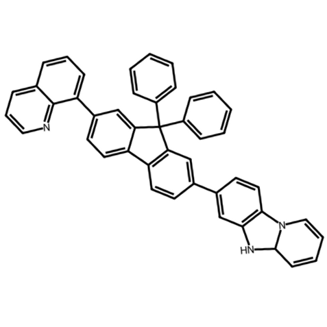 C1=CC2Nc3cc(-c4ccc5c(c4)C(c4ccccc4)(c4ccccc4)c4cc(-c6cccc7cccnc67)ccc4-5)ccc3N2C=C1